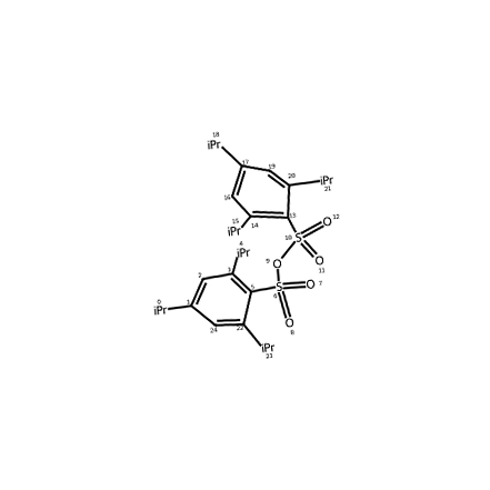 CC(C)c1cc(C(C)C)c(S(=O)(=O)OS(=O)(=O)c2c(C(C)C)cc(C(C)C)cc2C(C)C)c(C(C)C)c1